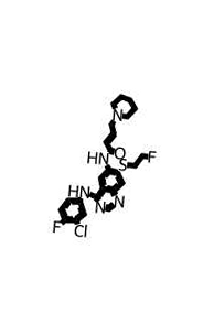 O=C(C=CCN1CCCCC1)Nc1cc2c(Nc3ccc(F)c(Cl)c3)ncnc2cc1SCCF